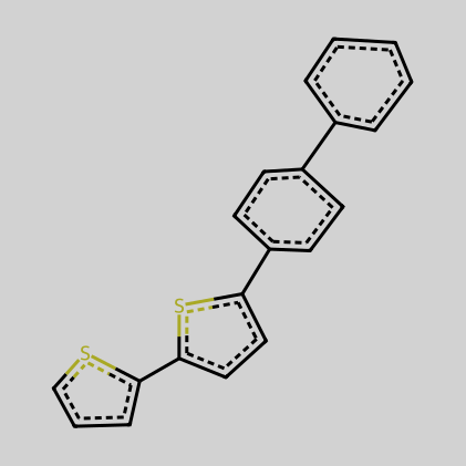 c1ccc(-c2ccc(-c3ccc(-c4cccs4)s3)cc2)cc1